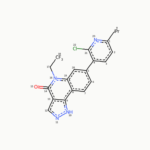 CC(C)c1ccc(-c2ccc3c4[nH]ncc4c(=O)n(CC(F)(F)F)c3c2)c(Cl)n1